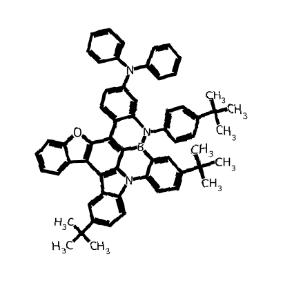 CC(C)(C)c1ccc(N2B3c4cc(C(C)(C)C)ccc4-n4c5ccc(C(C)(C)C)cc5c5c6c(oc7ccccc76)c(c3c54)-c3ccc(N(c4ccccc4)c4ccccc4)cc32)cc1